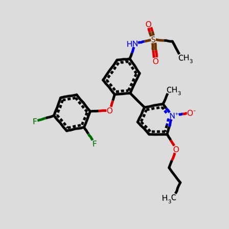 CCCOc1ccc(-c2cc(NS(=O)(=O)CC)ccc2Oc2ccc(F)cc2F)c(C)[n+]1[O-]